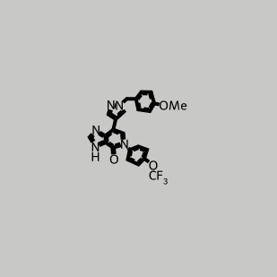 COc1ccc(Cn2cc(-c3cn(-c4ccc(OC(F)(F)F)cc4)c(=O)c4[nH]cnc34)cn2)cc1